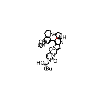 CC(C)(C)[C@H](O)Cn1ccc(=O)n(Cc2cc3nccc(-c4cc(Cl)cc5c4N([C@H]4CCNC4)CCC5)c3s2)c1=O.O=CO